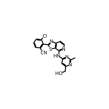 Cc1nc(CO)cc(Nc2nccc3nc(-c4c(Cl)cccc4C#N)sc23)n1